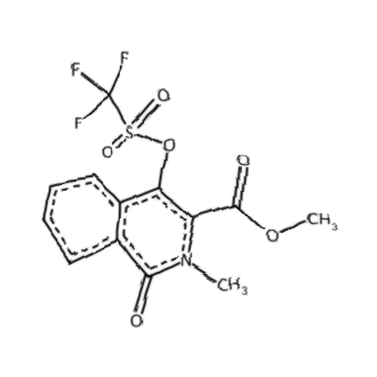 COC(=O)c1c(OS(=O)(=O)C(F)(F)F)c2ccccc2c(=O)n1C